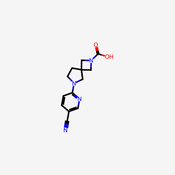 N#Cc1ccc(N2CCC3(CN(C(=O)O)C3)C2)nc1